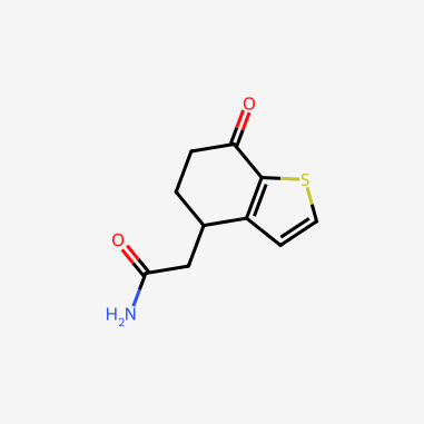 NC(=O)CC1CCC(=O)c2sccc21